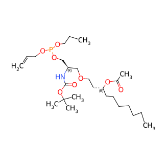 C=CCOP(OCCC)OC[C@@H](COCC[C@@H](CCCCCCC)OC(C)=O)NC(=O)OC(C)(C)C